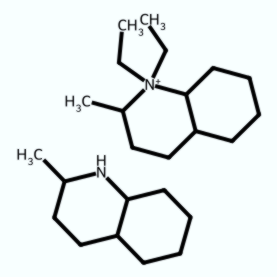 CC1CCC2CCCCC2N1.CC[N+]1(CC)C(C)CCC2CCCCC21